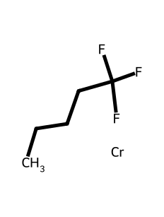 CCCCC(F)(F)F.[Cr]